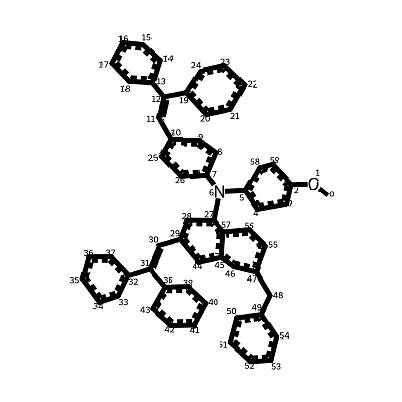 COc1ccc(N(c2ccc(C=C(c3ccccc3)c3ccccc3)cc2)c2cc(C=C(c3ccccc3)c3ccccc3)cc3cc(Cc4ccccc4)ccc23)cc1